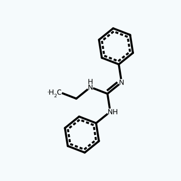 [CH2]CN/C(=N\c1ccccc1)Nc1ccccc1